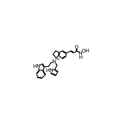 O=C(C=Cc1ccc2c(c1)CC[C@H]2N(CCc1c[nH]c2ccccc12)Cc1ccc[nH]1)NO